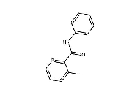 Cc1cccnc1C(=O)Nc1ccccc1